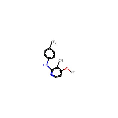 CC(C)Oc1ccnc(Nc2ccc(C(F)(F)F)cc2)c1C#N